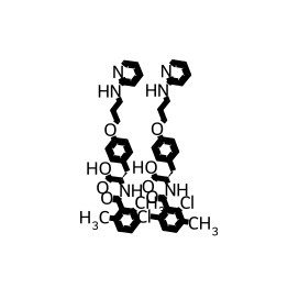 Cc1ccc(Cl)c(C(=O)N[C@@H](Cc2ccc(OCCCNc3ccccn3)cc2)C(=O)O)c1Cl.Cc1cccc(C)c1C(=O)N[C@@H](Cc1ccc(OCCCNc2ccccn2)cc1)C(=O)O